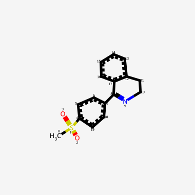 CS(=O)(=O)c1ccc(C2=NCCc3ccccc32)cc1